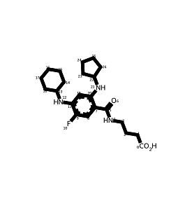 O=C(O)CCCNC(=O)c1cc(F)c(NC2CCCCC2)cc1NC1CCCC1